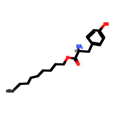 CCCCCCCCCCCCCCCCCCOC(=O)[C@@H](N)Cc1ccc(O)cc1